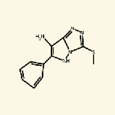 CSc1nnc2c(N)c(-c3ccccc3)[nH]n12